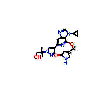 C[C@@H](Oc1nc(-c2cnn(C(C)(C)CO)c2)cc2ncn(C3CC3)c12)[C@H]1CNC(=O)C1